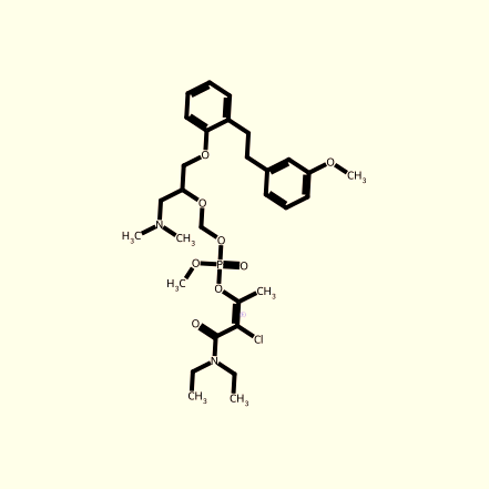 CCN(CC)C(=O)/C(Cl)=C(/C)OP(=O)(OC)OCOC(COc1ccccc1CCc1cccc(OC)c1)CN(C)C